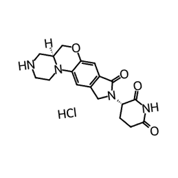 Cl.O=C1CC[C@H](N2Cc3cc4c(cc3C2=O)OC[C@@H]2CNCCN42)C(=O)N1